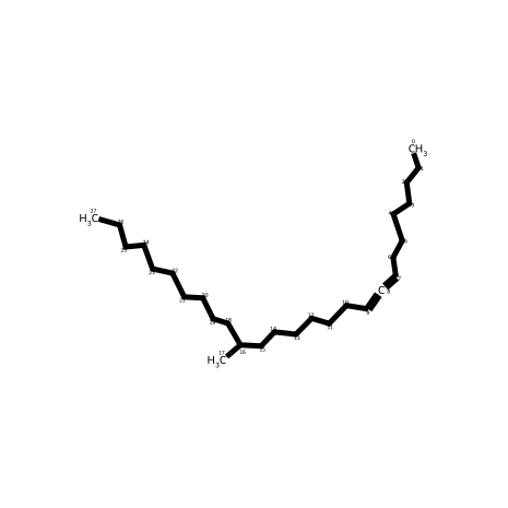 CCCCCCCC=C=CCCCCCCC(C)CCCCCCCCCC